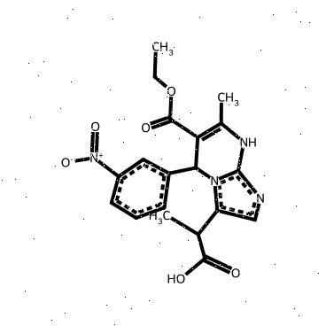 CCOC(=O)C1=C(C)Nc2ncc(C(C)C(=O)O)n2C1c1cccc([N+](=O)[O-])c1